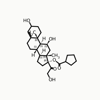 C[C@]12CCC(O)C=C1CC[C@@H]1[C@@H]2[C@@H](O)C[C@@]2(C)[C@H]1CC[C@]2(OC(=O)C1CCCC1)C(=O)CO